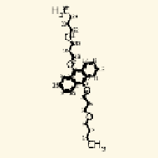 CCCCOCCCOc1c2ccccc2c(OCCCOCCCC)c2ccccc12